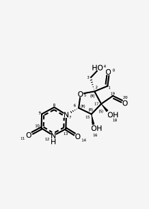 O=C[C@]1(CO)O[C@@H](n2ccc(=O)[nH]c2=O)[C@H](O)[C@@]1(O)C=O